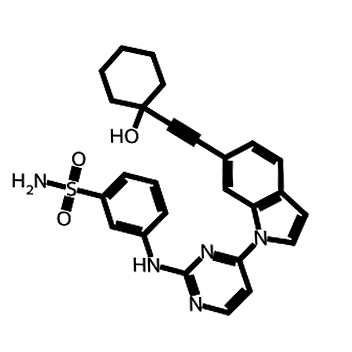 NS(=O)(=O)c1cccc(Nc2nccc(-n3ccc4ccc(C#CC5(O)CCCCC5)cc43)n2)c1